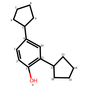 Oc1ccc(C2CCCC2)cc1C1CCCC1